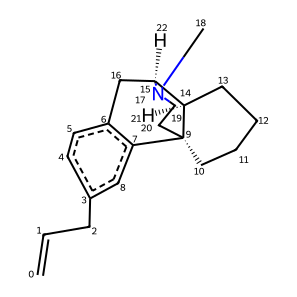 C=CCc1ccc2c(c1)[C@]13CCCC[C@@H]1[C@H](C2)N(C)CC3